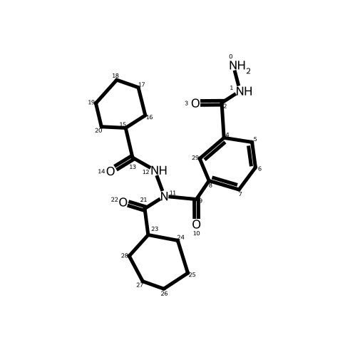 NNC(=O)c1cccc(C(=O)N(NC(=O)C2CCCCC2)C(=O)C2CCCCC2)c1